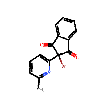 Cc1cccc(C2(Br)C(=O)c3ccccc3C2=O)n1